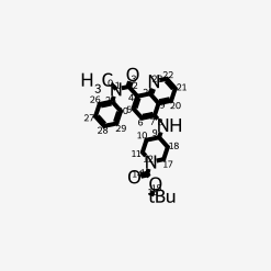 CN(C(=O)c1ccc(NC2CCN(C(=O)OC(C)(C)C)CC2)c2cccnc12)c1ccccc1